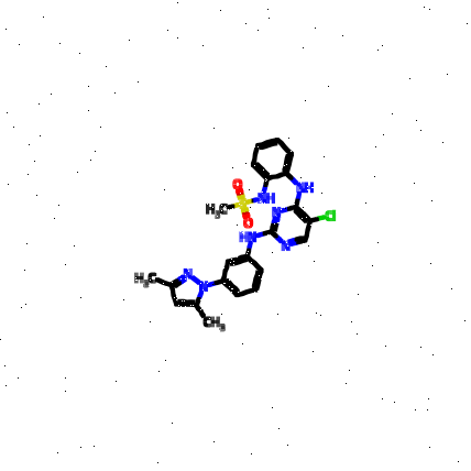 Cc1cc(C)n(-c2cccc(Nc3ncc(Cl)c(Nc4ccccc4NS(C)(=O)=O)n3)c2)n1